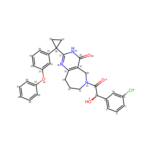 O=C([C@H](O)c1cccc(Cl)c1)N1CCCc2nc(C3(c4cccc(Oc5ccccc5)c4)CC3)[nH]c(=O)c2C1